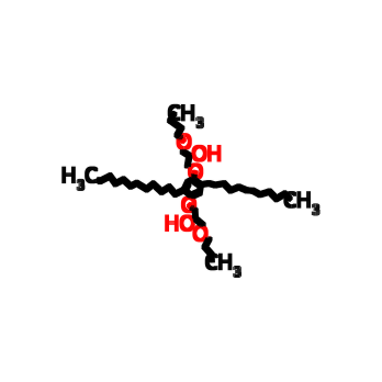 CCCCCCCCCCCCc1cc(OCC(O)COCCCC)c(CCCCCCCCCCCC)cc1OCC(O)COCCCC